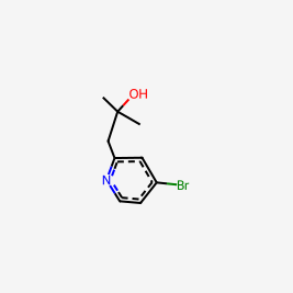 CC(C)(O)Cc1cc(Br)ccn1